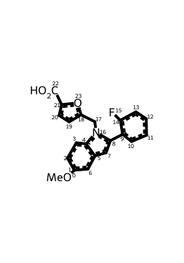 COc1ccc2c(c1)cc(-c1ccccc1F)n2Cc1ccc(C(=O)O)o1